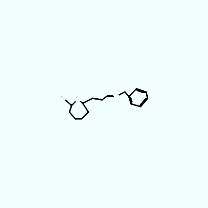 [N]C1CCCCC(CCCOCc2ccccc2)N1